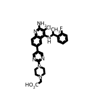 CC(Nc1c(Cl)c(N)nc2ccc(-c3cnc(N4CCN(CC(=O)O)CC4)nc3)cc12)c1ccccc1F